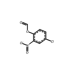 O=COc1ccc(Cl)cc1[N+](=O)[O-]